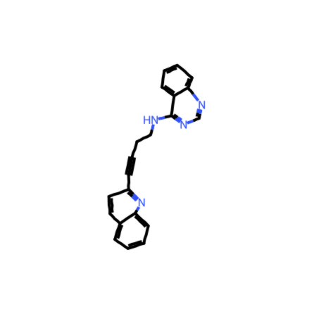 C(#Cc1ccc2ccccc2n1)CCNc1ncnc2ccccc12